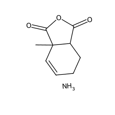 CC12C=CCCC1C(=O)OC2=O.N